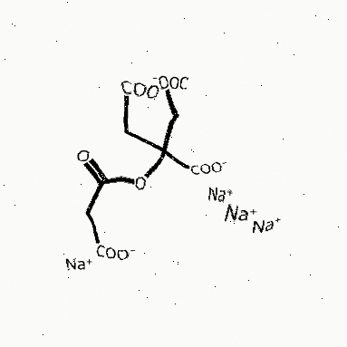 O=C([O-])CC(=O)OC(CC(=O)[O-])(CC(=O)[O-])C(=O)[O-].[Na+].[Na+].[Na+].[Na+]